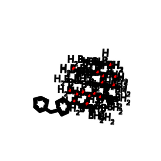 BBB(B)B(B(B)B)B(B(B(B)B)B(B)B)B(B(B(B(B)B)B(B)B)B(B(B)B)B(BB)B(B)B)B(B(B(B(B)B)B(B)B)B(B(B)B)B(B)B)B(B(B(BB)B(B)B)B(B(B)B)B(B)B)C1CCC(c2ccc(Cc3ccccc3)cc2)CC1